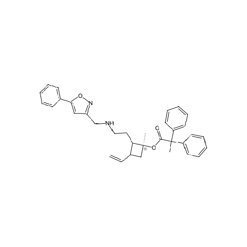 C=CC1C[C@](C)(OC(=O)C(C)(c2ccccc2)c2ccccc2)C1CCNCc1cc(-c2ccccc2)on1